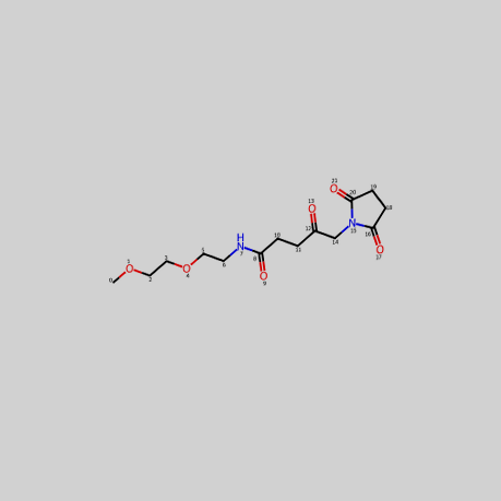 COCCOCCNC(=O)CCC(=O)CN1C(=O)CCC1=O